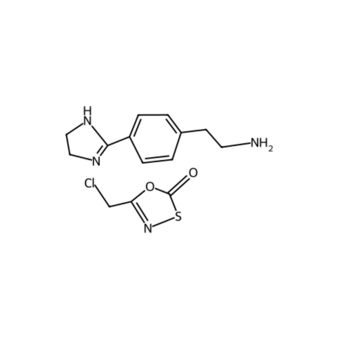 NCCc1ccc(C2=NCCN2)cc1.O=c1oc(CCl)ns1